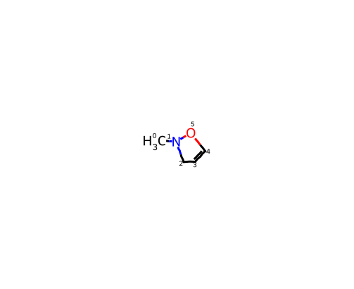 CN1CC=CO1